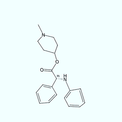 CN1CCC(OC(=O)[C@H](Nc2ccccc2)c2ccccc2)CC1